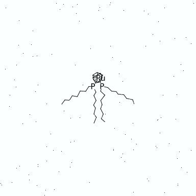 CCCCCCCCP(CCCCCCCC)[C]12[CH]3[CH]4[CH]5[C]1(P(CCCCCCCC)CCCCCCCC)[Ru]43521678[CH]2[CH]1[CH]6[CH]7[CH]28